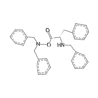 O=C(ON(Cc1ccccc1)Cc1ccccc1)[C@H](Cc1ccccc1)NCc1ccccc1